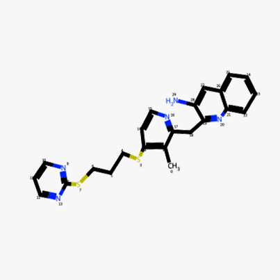 Cc1c(SCCCSc2ncccn2)ccnc1Cc1nc2ccccc2cc1N